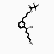 CCCCC[C@H](O)c1cccc(CCCNC(=O)C(F)(F)F)c1